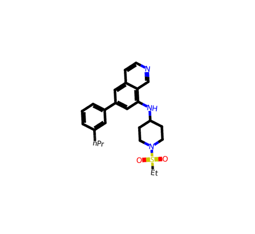 CCCc1cccc(-c2cc(NC3CCN(S(=O)(=O)CC)CC3)c3cnccc3c2)c1